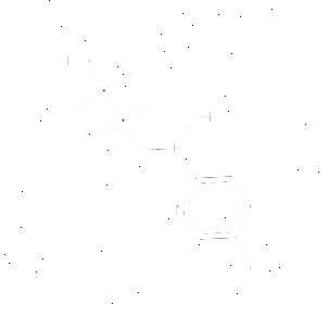 CC(C)(O)C(C)(C)OB(O)c1ccc(Cl)cn1